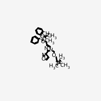 CC(C)(C)[Si](OCc1cn(COCC[Si](C)(C)C)c(-c2ccon2)n1)(c1ccccc1)c1ccccc1